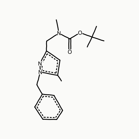 Cc1cc(CN(C)C(=O)OC(C)(C)C)nn1Cc1ccccc1